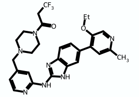 CCOc1cnc(C)cc1-c1ccc2nc(Nc3cc(CN4CCN(C(=O)CC(F)(F)F)CC4)ccn3)[nH]c2c1